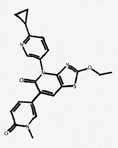 CCOc1nc2c(cc(-c3ccc(=O)n(C)c3)c(=O)n2-c2ccc(C3CC3)nc2)s1